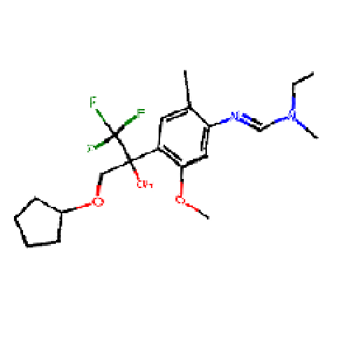 CCN(C)C=Nc1cc(OC)c(C(O)(COC2CCCC2)C(F)(F)F)cc1C